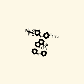 CCCCOc1ccc([I+]c2ccccc2)cc1.O=C([O-])C(F)(F)F.O=S(=O)([O-])c1cccc2ccccc12.c1ccc([I+]c2ccccc2)cc1